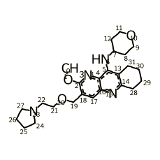 COc1nc2c(NC3CCOCC3)c3c(nc2cc1COCCN1CCCC1)CCCC3